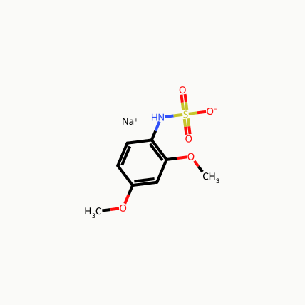 COc1ccc(NS(=O)(=O)[O-])c(OC)c1.[Na+]